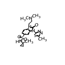 Cc1nnc(-n2c(=O)n(CCN(C)C)c3ccc(S(=O)(=O)NC4(C)CC4)cc32)s1